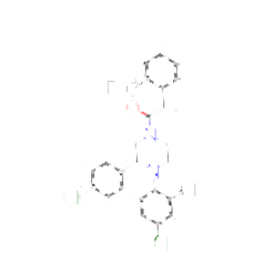 Cc1cc(Cl)ccc1N1CCN(C(=O)Cc2ccccc2C(F)(F)F)CC1c1ccc(Cl)cc1